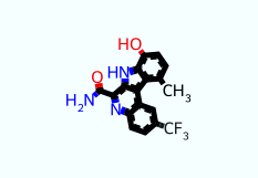 Cc1ccc(O)c2[nH]c3c(C(N)=O)nc4ccc(C(F)(F)F)cc4c3c12